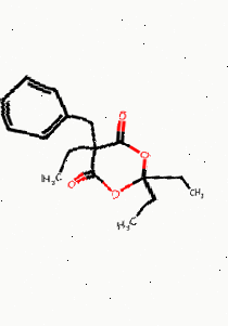 CCC1(CC)OC(=O)C(CC)(Cc2ccccc2)C(=O)O1